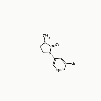 CN1CCN(c2cncc(Br)c2)C1=O